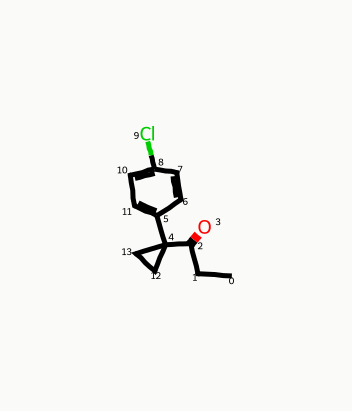 CCC(=O)C1(c2ccc(Cl)cc2)CC1